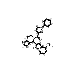 Cc1cccn2nc(C3c4nc[nH]c4CCN3C(=O)c3ccn(-c4ccccn4)n3)cc12